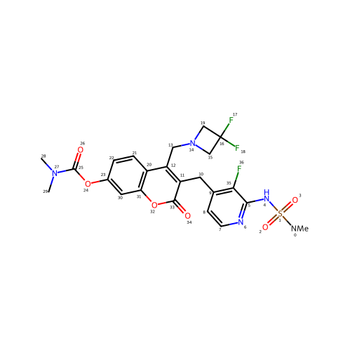 CNS(=O)(=O)Nc1nccc(Cc2c(CN3CC(F)(F)C3)c3ccc(OC(=O)N(C)C)cc3oc2=O)c1F